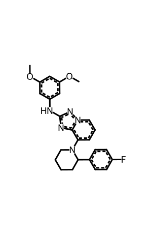 COc1cc(Nc2nc3c(N4CCCCC4c4ccc(F)cc4)cccn3n2)cc(OC)c1